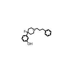 Oc1cccc(C2(F)CCN(CCCc3ccccc3)CC2)c1